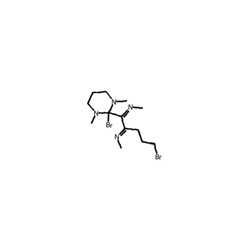 CN=C(CCCBr)C(=NC)C1(Br)N(C)CCCN1C